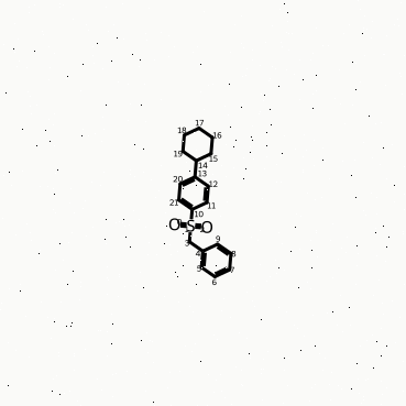 O=S(=O)(Cc1ccccc1)c1ccc(C2CCCCC2)cc1